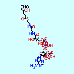 CC(C)(COP(=O)(O)OP(=O)(O)OC[C@H]1O[C@@H](n2cnc3c(N)ncnc32)[C@H](O)[C@@H]1OP(=O)(O)O)[C@@H](O)C(=O)NCCC(=O)NCCSC(=O)CCC(O)CC=O